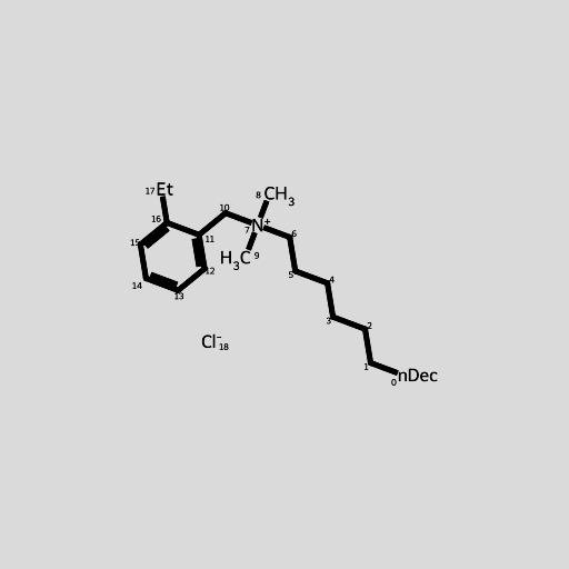 CCCCCCCCCCCCCCCC[N+](C)(C)Cc1ccccc1CC.[Cl-]